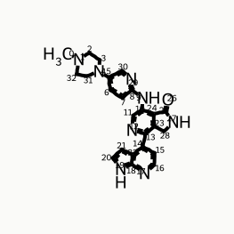 CN1CCN(c2ccc(Nc3cnc(-c4ccnc5[nH]ccc45)c4c3C(=O)NC4)nc2)CC1